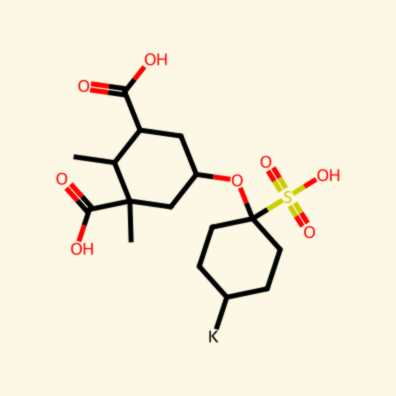 CC1C(C(=O)O)CC(OC2(S(=O)(=O)O)CC[CH]([K])CC2)CC1(C)C(=O)O